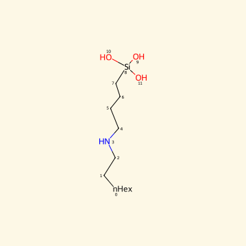 CCCCCCCCNCCCC[Si](O)(O)O